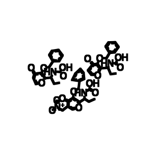 CCC(NC(=O)O)c1occ(C[N+](=O)[O-])c(=O)c1OCc1ccccc1.CCC(NC(=O)O)c1occc(=O)c1OCc1ccccc1.CCC(NC(=O)O)c1occc(=O)c1OCc1ccccc1